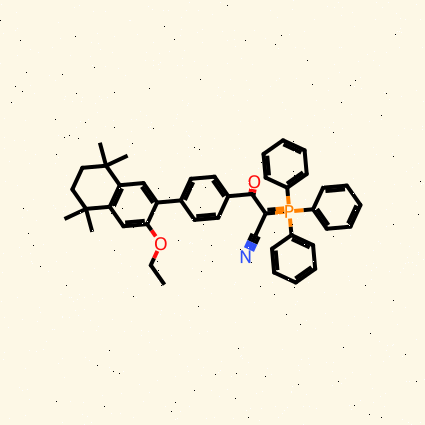 CCOc1cc2c(cc1-c1ccc(C(=O)C(C#N)=P(c3ccccc3)(c3ccccc3)c3ccccc3)cc1)C(C)(C)CCC2(C)C